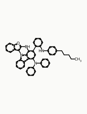 CCCCCc1ccc(Nc2ccccc2-c2cc(N(c3ccccc3)c3ccccc3)c3c4ccccc4n4c3c2Bc2oc3ccccc3c2-4)cc1